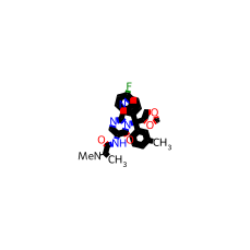 CN[C@@H](C)C(=O)Nc1cnc(-c2ccc(F)cc2)n(C(C2=COCO2)(c2cccnc2)c2cccc(C)c2)c1=O